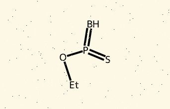 B=P(=S)OCC